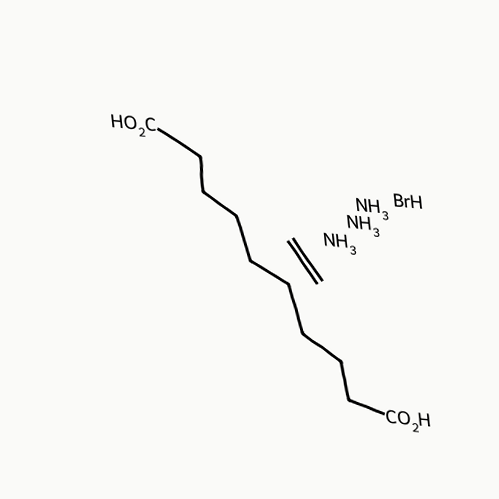 Br.C=C.N.N.N.O=C(O)CCCCCCCCC(=O)O